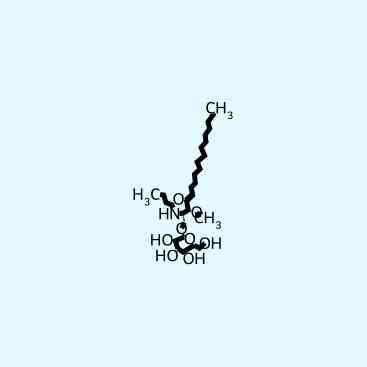 CCCCCCCCCCCCC/C=C/[C@H](OC)[C@H](CO[C@@H]1OC(CO)[C@@H](O)C(O)[C@@H]1O)NC(=O)CCC